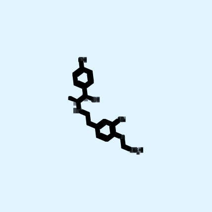 C[C@H](NCCc1ccc(OCC(=O)O)c(C#N)c1)[C@H](O)c1ccc(O)cc1